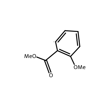 COC(=O)c1[c]cccc1OC